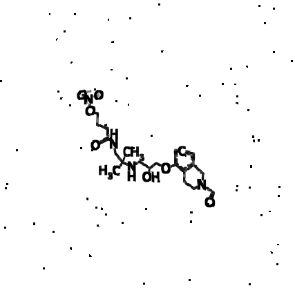 CC(C)(CNC(=O)CCCO[N+](=O)[O-])NCC(O)COc1cccc2c1CCN(C=O)C2